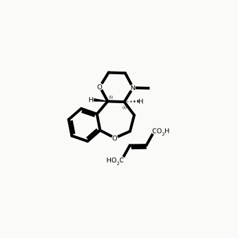 CN1CCO[C@H]2c3ccccc3OCC[C@@H]21.O=C(O)C=CC(=O)O